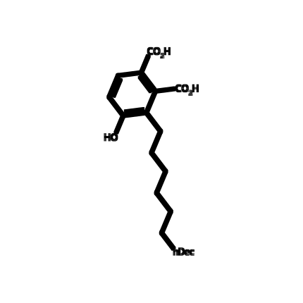 CCCCCCCCCCCCCCCCc1c(O)ccc(C(=O)O)c1C(=O)O